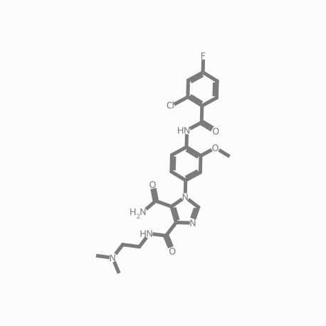 COc1cc(-n2cnc(C(=O)NCCN(C)C)c2C(N)=O)ccc1NC(=O)c1ccc(F)cc1Cl